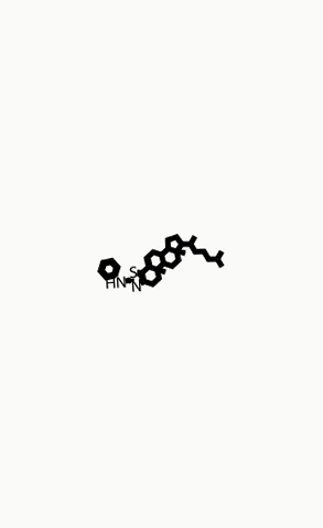 CC(C)CCCC(C)C1CCC2C3CC=C4c5sc(Nc6ccccc6)nc5CCC4(C)C3CCC12C